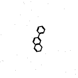 C1=Cc2ccc(-c3ccccc3)cc2CC1